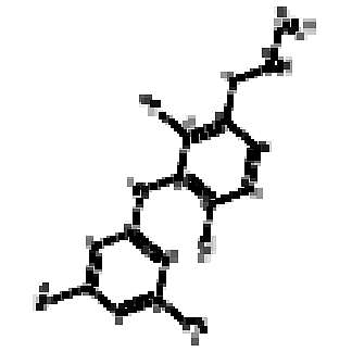 N#Cc1cc(Br)cc(Oc2c(Cl)ccc(CNC(=O)O)c2F)c1